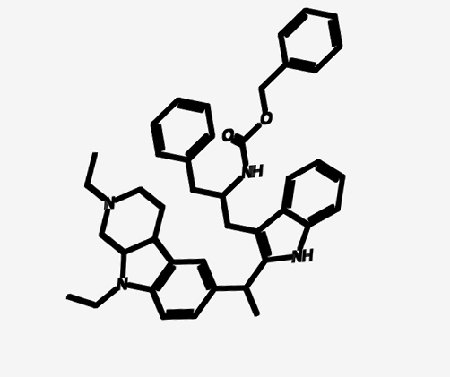 CCN1CCC2c3cc(C(C)c4[nH]c5ccccc5c4CC(Cc4ccccc4)NC(=O)OCc4ccccc4)ccc3N(CC)C2C1